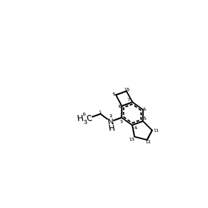 CCNc1c2c(cc3c1CC3)CCC2